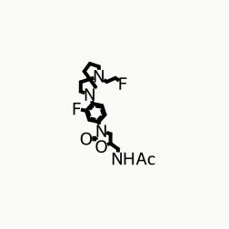 CC(=O)NCC1CN(c2ccc(N3CCC4(CCCN4CCF)C3)c(F)c2)C(=O)O1